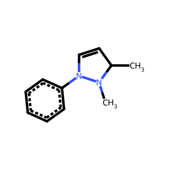 CC1C=CN(c2ccccc2)N1C